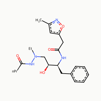 CCCC(=O)NN(CC)C[C@H](O)[C@H](Cc1ccccc1)NC(=O)Cc1cc(C)no1